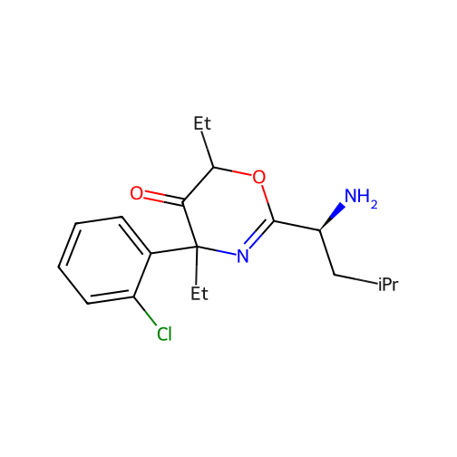 CCC1OC([C@@H](N)CC(C)C)=NC(CC)(c2ccccc2Cl)C1=O